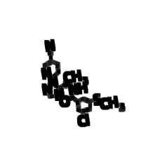 CSc1cc(Cl)cc(C(=O)N[C@H](C)c2ncnn2-c2ccc(C#N)cn2)c1